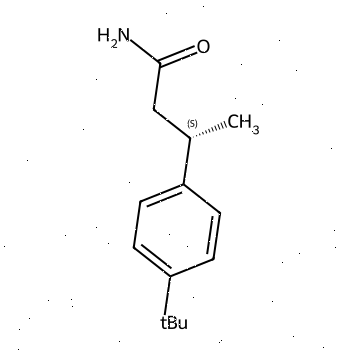 C[C@@H](CC(N)=O)c1ccc(C(C)(C)C)cc1